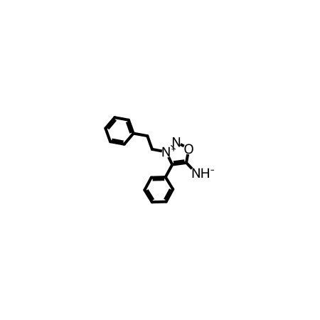 [NH-]c1on[n+](CCc2ccccc2)c1-c1ccccc1